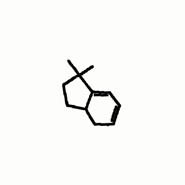 CC1(C)CCC2CC=CC=C21